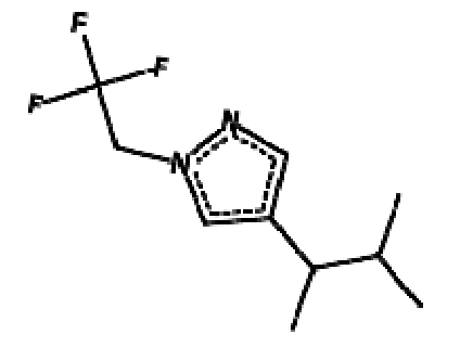 CC(C)C(C)c1cnn(CC(F)(F)F)c1